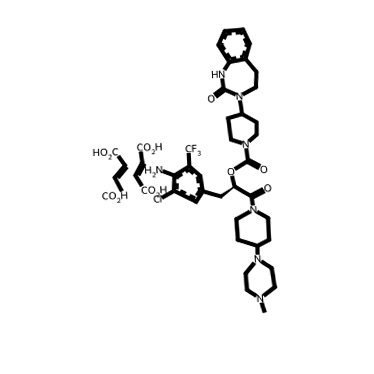 CN1CCN(C2CCN(C(=O)[C@@H](Cc3cc(Cl)c(N)c(C(F)(F)F)c3)OC(=O)N3CCC(N4CCc5ccccc5NC4=O)CC3)CC2)CC1.O=C(O)/C=C/C(=O)O.O=C(O)/C=C/C(=O)O